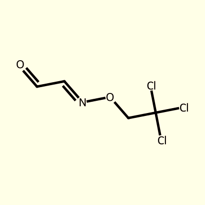 O=CC=NOCC(Cl)(Cl)Cl